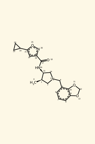 C[C@@H]1CN(Cc2cccc3c2OCO3)C[C@@H]1NC(=O)c1cc(C2CC2)on1